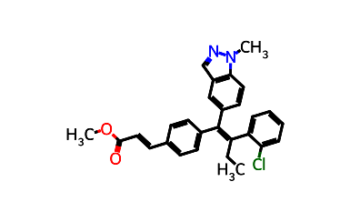 CCC(=C(c1ccc(C=CC(=O)OC)cc1)c1ccc2c(cnn2C)c1)c1ccccc1Cl